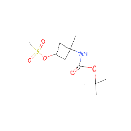 CC1(NC(=O)OC(C)(C)C)CC(OS(C)(=O)=O)C1